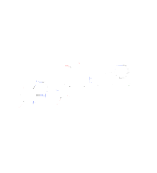 O=C1COc2ncc(N3CC(CCNCC4Cc5ncc(F)c(Cl)c5C4)OC3=O)nc2N1.O=CO